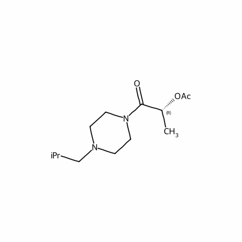 CC(=O)O[C@H](C)C(=O)N1CCN(CC(C)C)CC1